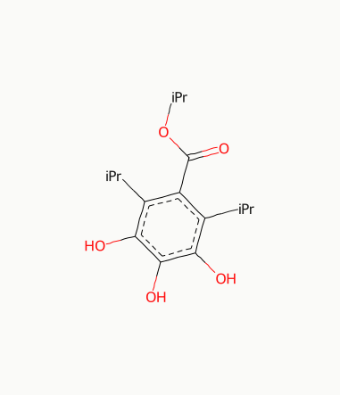 CC(C)OC(=O)c1c(C(C)C)c(O)c(O)c(O)c1C(C)C